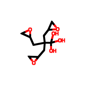 OC(O)(O)C(CC1CO1)(CC1CO1)CC1CO1